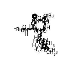 Cc1c(C)c(S(=O)(=O)NC(=N)NCCC[C@@H]2NC(=O)[C@H](CCCCNC(=O)OC(C)(C)C)NC(=O)N(Cc3ccccc3)NC(=O)[C@H](CC(=O)OC(C)(C)C)NC(=O)CNC2=O)c(C)c2c1OC(C)(C)C2